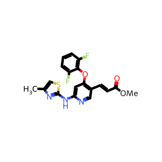 COC(=O)/C=C/c1cnc(Nc2nc(C)cs2)cc1Oc1c(F)cccc1F